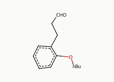 CCCCOc1ccccc1CCC=O